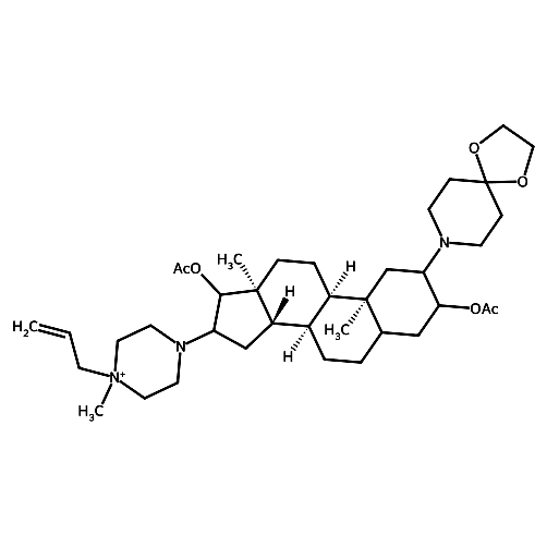 C=CC[N+]1(C)CCN(C2C[C@H]3[C@@H]4CCC5CC(OC(C)=O)C(N6CCC7(CC6)OCCO7)C[C@]5(C)[C@@H]4CC[C@]3(C)C2OC(C)=O)CC1